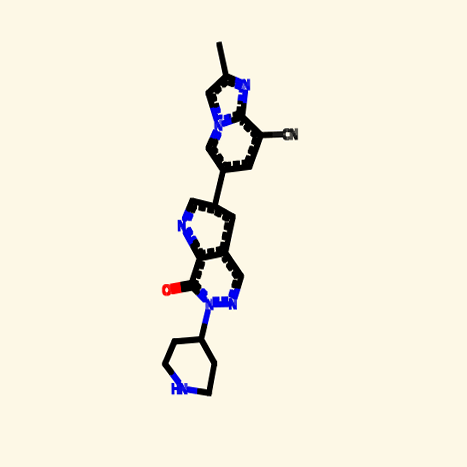 Cc1cn2cc(-c3cnc4c(=O)n(C5CCNCC5)ncc4c3)cc(C#N)c2n1